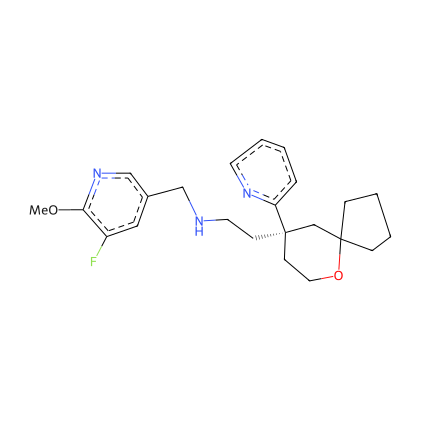 COc1ncc(CNCC[C@@]2(c3ccccn3)CCOC3(CCCC3)C2)cc1F